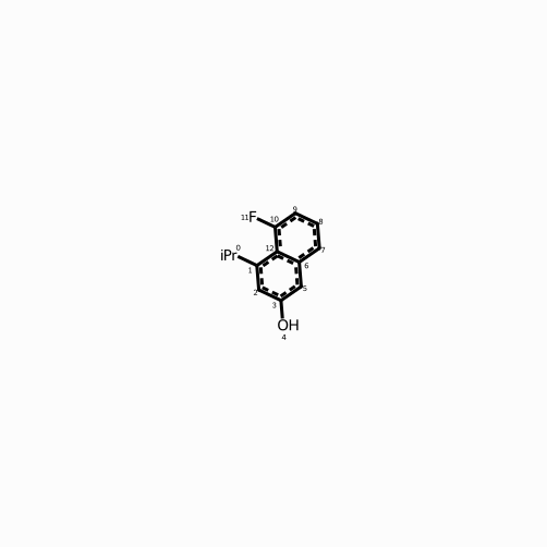 CC(C)c1cc(O)cc2cccc(F)c12